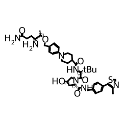 Cc1ncsc1-c1ccc(CNC(=O)[C@@H]2C[C@@H](O)CN2C(=O)[C@@H](NC(=O)C2CCN(c3ccc(CO[C@H](C)[C@@H](N)CCC(N)=O)cc3)CC2)C(C)(C)C)cc1